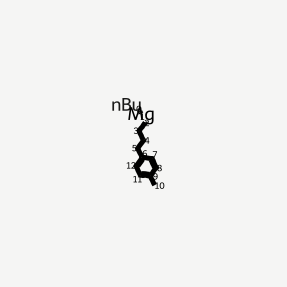 CCC[CH2][Mg][CH2]CCCc1ccc(C)cc1